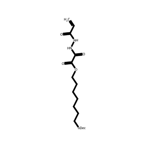 C=CC(=O)NNC(=O)C(=O)OCCCCCCCCCCCCCCCCC